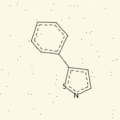 [c]1cccc(-c2ccns2)c1